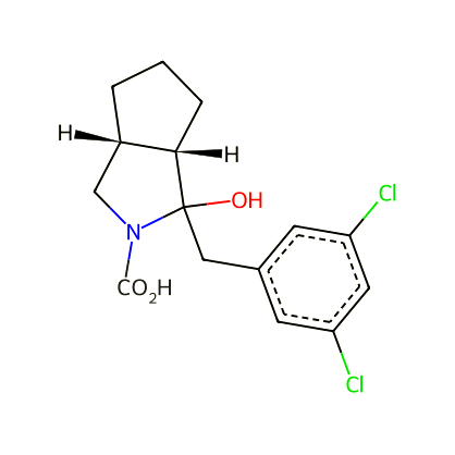 O=C(O)N1C[C@@H]2CCC[C@@H]2C1(O)Cc1cc(Cl)cc(Cl)c1